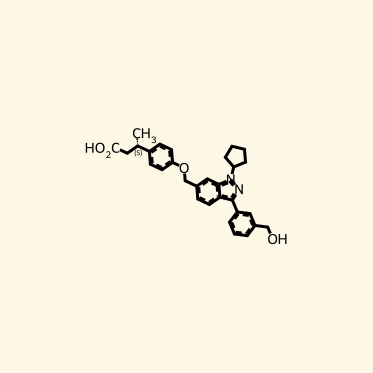 C[C@@H](CC(=O)O)c1ccc(OCc2ccc3c(-c4cccc(CO)c4)nn(C4CCCC4)c3c2)cc1